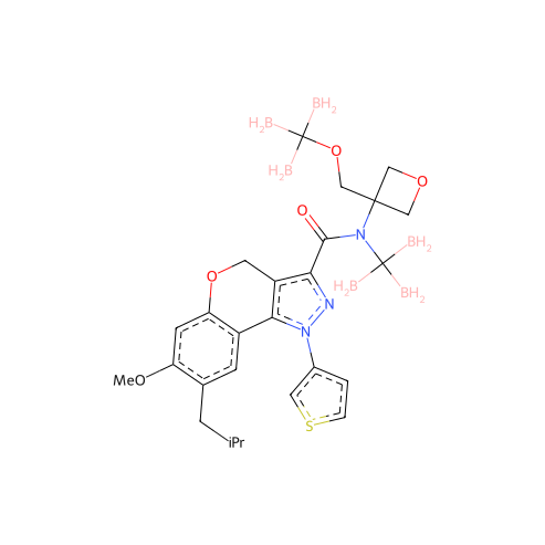 BC(B)(B)OCC1(N(C(=O)c2nn(-c3ccsc3)c3c2COc2cc(OC)c(CC(C)C)cc2-3)C(B)(B)B)COC1